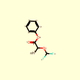 CCCC(OC(F)F)C(=O)Oc1ccccc1